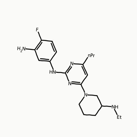 CCCc1cc(N2CCCC(NCC)C2)nc(Nc2ccc(F)c(N)c2)n1